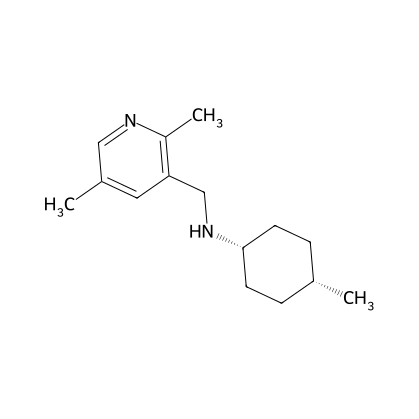 Cc1cnc(C)c(CN[C@H]2CC[C@@H](C)CC2)c1